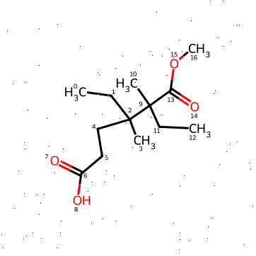 CCC(C)(CCC(=O)O)C(C)(CC)C(=O)OC